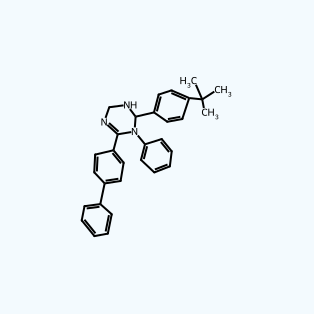 CC(C)(C)c1ccc(C2NCN=C(c3ccc(-c4ccccc4)cc3)N2c2ccccc2)cc1